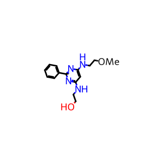 COCCNc1cc(NCCO)nc(-c2ccccc2)n1